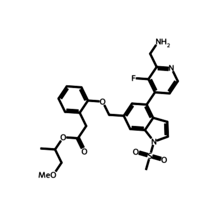 COCC(C)OC(=O)Cc1ccccc1OCc1cc(-c2ccnc(CN)c2F)c2ccn(S(C)(=O)=O)c2c1